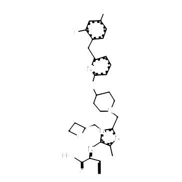 C=C/C(=N\c1c(C)nc(CN2CCC(Oc3cccc(Cc4ccc(Cl)cc4F)n3)CC2)n1C[C@@H]1CCO1)C(=O)O